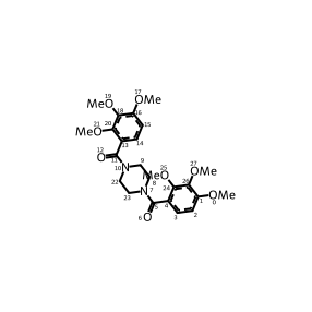 COc1ccc(C(=O)N2CCN(C(=O)c3ccc(OC)c(OC)c3OC)CC2)c(OC)c1OC